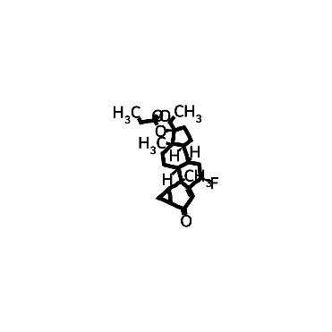 CCC(=O)O[C@@]1(C(C)=O)CC[C@H]2[C@@H]3C[C@@H](F)C4=CC(=O)C5CC5[C@@]4(C)[C@@H]3CC[C@@]21C